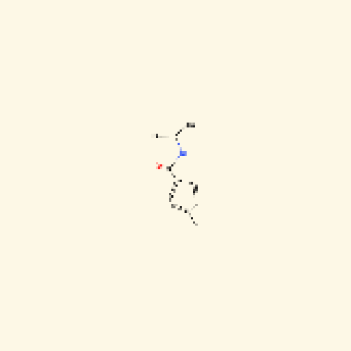 CCC(C)C(CC)NC(=O)c1ccc(C)cc1